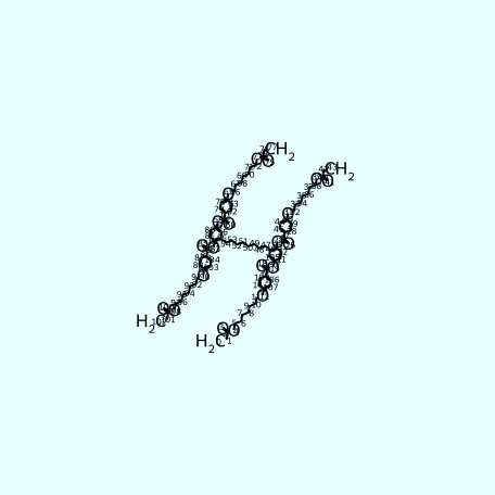 C=CC(=O)OCCCCCCCOc1ccc(C(=O)Oc2ccc(OC(=O)c3ccc(OCCCCCCCOC(=O)C=C)cc3)c(CCCCCCCCc3cc(OC(=O)c4ccc(OCCCCCCCOC(=O)C=C)cc4)ccc3OC(=O)c3ccc(OCCCCCCCOC(=O)C=C)cc3)c2)cc1